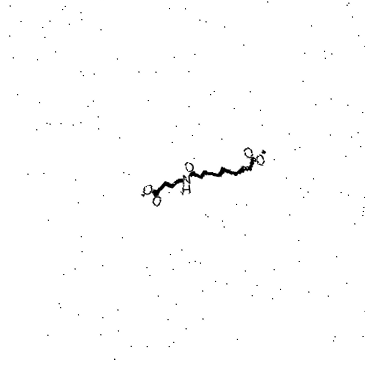 COC(=O)CCCCCCCC(=O)NCCCC(=O)OC